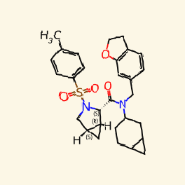 Cc1ccc(S(=O)(=O)N2C[C@H]3C[C@H]3[C@H]2C(=O)N(Cc2ccc3c(c2)OCC3)C2CCC3CC3C2)cc1